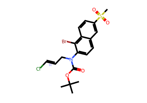 CC(C)(C)OC(=O)N(C/C=C/Cl)c1ccc2cc(S(C)(=O)=O)ccc2c1Br